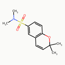 CN(C)S(=O)(=O)c1ccc2c(c1)C=CC(C)(C)O2